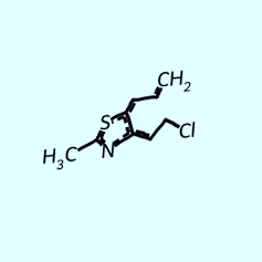 C=C/C=c1/sc(C)n/c1=C/CCl